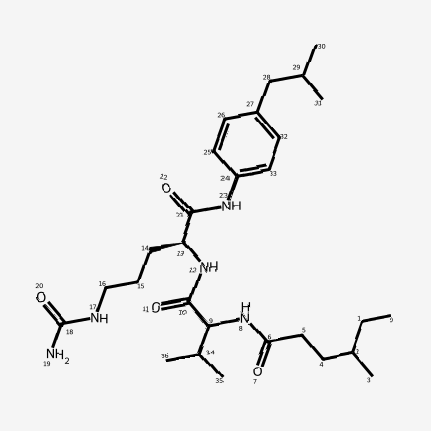 CCC(C)CCC(=O)NC(C(=O)N[C@@H](CCCNC(N)=O)C(=O)Nc1ccc(CC(C)C)cc1)C(C)C